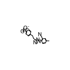 Cc1ccc(-n2cnc(CCc3ccc([N+](=O)[O-])cc3)n2)c(C#N)c1